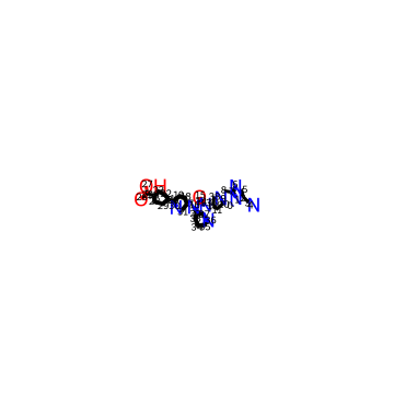 Cn1c(C#N)cnc1CN1CC[C@H](n2c(=O)n(-c3ccc(-c4ccc(C(=O)O)cc4)nc3)c3cccnc32)C1